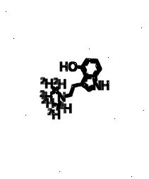 [2H]C([2H])([2H])N(CCc1c[nH]c2cccc(O)c12)C([2H])([2H])[2H]